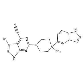 N#Cc1nc(N2CCC(N)(c3ccc4[nH]ncc4c3)CC2)nc2[nH]nc(Br)c12